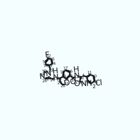 NC(=O)[C@H](Cc1ccc(Cl)cc1)NC(=O)c1cccc2c1OCCC2NCc1cncn1Cc1ccc(F)cc1